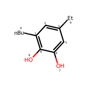 CCCCc1cc(CC)cc(O)c1O